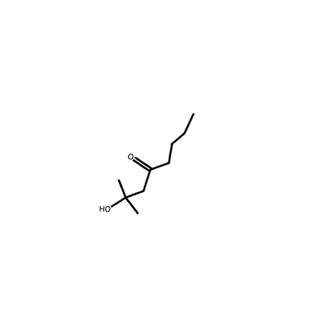 CCCCC(=O)CC(C)(C)O